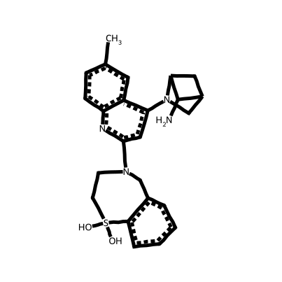 Cc1ccc2nc(N3CCS(O)(O)c4ccccc4C3)cc(N3CC4CC3C4N)c2c1